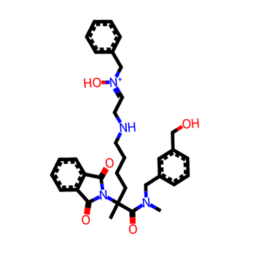 CN(Cc1cccc(CO)c1)C(=O)C(C)(CCCCNCC=[N+](O)Cc1ccccc1)N1C(=O)c2ccccc2C1=O